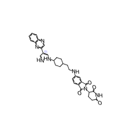 N=C/C(=C\NC1CCC(CCNc2ccc3c(c2)C(=O)N(C2CCC(=O)NC2=O)C3=O)CC1)c1cnc2ccccc2n1